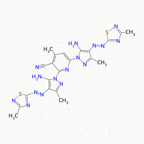 Cc1nsc(N=Nc2c(C)nn(-c3cc(C)c(C#N)c(-n4nc(C)c(N=Nc5nc(C)ns5)c4N)n3)c2N)n1